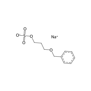 O=S(=O)([O-])OCCCOCc1ccccc1.[Na+]